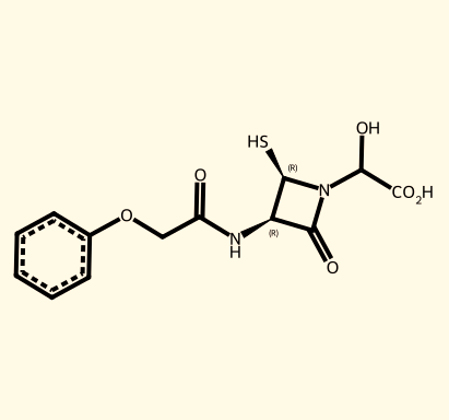 O=C(COc1ccccc1)N[C@@H]1C(=O)N(C(O)C(=O)O)[C@@H]1S